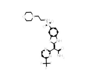 NC(=O)/C(=C1\Nc2ccc(S(=O)(=O)NCCN3CCOCC3)cc2S1)c1nccc(C(F)(F)F)n1